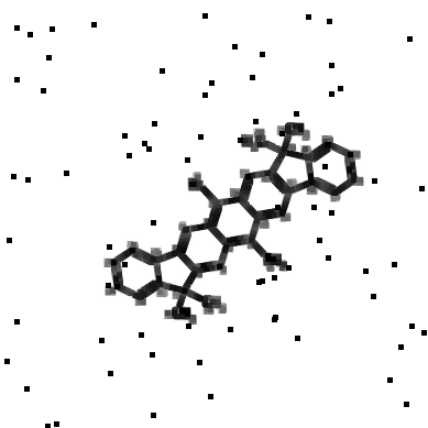 Bc1c2cc3c(cc2c(Br)c2cc4c(cc12)-c1ccccc1C4(C)C)-c1ccccc1C3(C)C